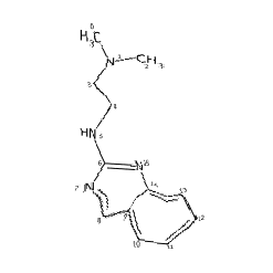 CN(C)CCNc1ncc2ccccc2n1